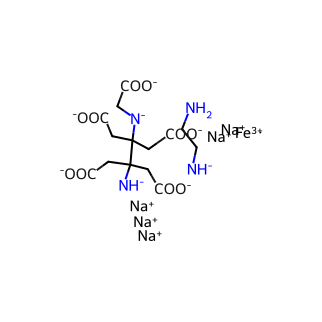 [Fe+3].[NH-]C(CC(=O)[O-])(CC(=O)[O-])C(CC(=O)[O-])(CC(=O)[O-])[N-]CC(=O)[O-].[NH-]CCN.[Na+].[Na+].[Na+].[Na+].[Na+]